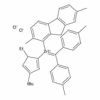 CCC1C=C(C(C)(C)C)C=[C]1[Zr+2](=[C](c1ccc(C)cc1)c1ccc(C)cc1)[c]1c(C)ccc2c1Cc1cc(C)ccc1-2.[Cl-].[Cl-]